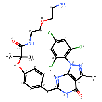 CC(C)c1nn(-c2c(Cl)cc(Cl)cc2Cl)c2nc(Cc3ccc(OC(C)(C)C(=O)NCCOCCN)cc3)[nH]c(=O)c12